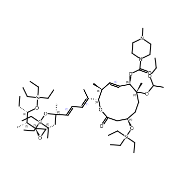 CCOC(C)O[C@]1(C)CC[C@@H](O[Si](CC)(CC)CC)CC(=O)O[C@H](/C(C)=C/C=C/[C@@](C)(C[C@@H]2O[C@H]2[C@H](C)[C@H](CC)O[Si](CC)(CC)CC)O[Si](CC)(CC)CC)[C@@H](C)/C=C/[C@H]1OC(=O)N1CCN(C)CC1